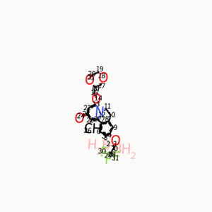 BC(B)(Oc1ccc2c(c1)CCn1c(OC[C@@H]3COCCO3)cc(=O)c(C)c1-2)C(F)(F)F